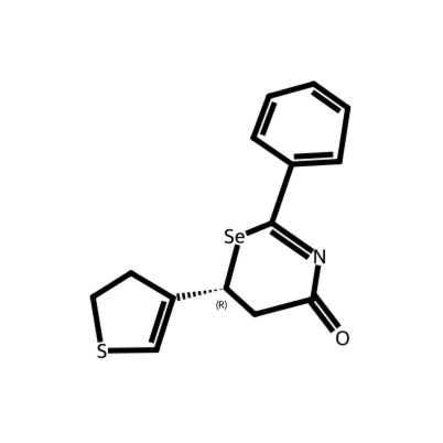 O=C1C[C@H](C2=CSCC2)[Se]C(c2ccccc2)=N1